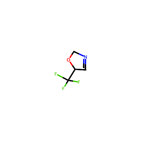 FC(F)(F)C1[C]=NCO1